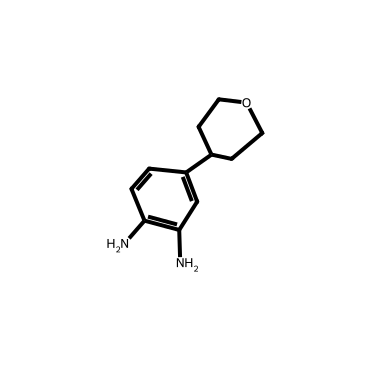 Nc1ccc(C2CCOCC2)cc1N